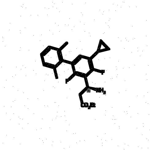 CCOC(=O)C[C@H](N)c1c(F)c(-c2c(C)cccc2C)cc(C2CC2)c1F